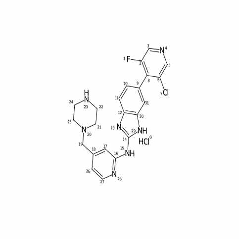 Cl.Fc1cncc(Cl)c1-c1ccc2nc(Nc3cc(CN4CCNCC4)ccn3)[nH]c2c1